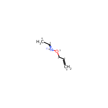 C=CCO/N=C/C